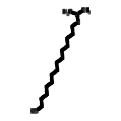 CN(C)SCCCCCCCCCCCCCCO